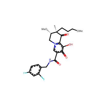 COCCC[C@@]1(C)C(=O)c2c(O)c(=O)c(C(=O)NCc3ccc(F)cc3F)cn2C[C@@H]1OC